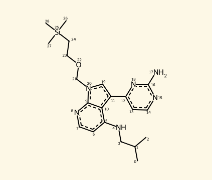 CC(C)CNc1ccnc2c1c(-c1ccnc(N)n1)cn2COCC[Si](C)(C)C